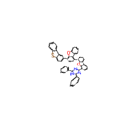 c1ccc(-c2nc(-c3ccccc3)nc(-c3cccc4c3oc3c(-c5ccc(-c6ccc7sc8ccccc8c7c6)c6oc7ccccc7c56)cccc34)n2)cc1